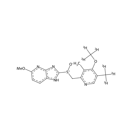 [2H]C([2H])([2H])Oc1c(C([2H])([2H])[2H])cnc(C[S+]([O-])c2nc3nc(OC)ccc3[nH]2)c1C